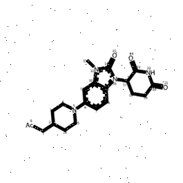 CC(=O)CC1CCN(c2ccc3c(c2)n(C)c(=O)n3C2CCC(=O)NC2=O)CC1